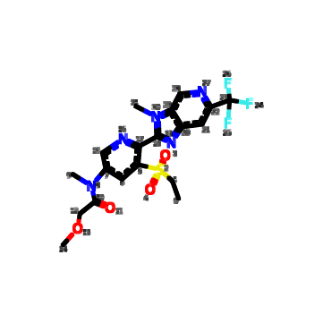 CCS(=O)(=O)c1cc(N(C)C(=O)COC)cnc1-c1nc2cc(C(F)(F)F)ncc2n1C